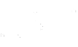 CC(C)c1ccc(NC(=O)c2ccc(Br)nc2)cc1